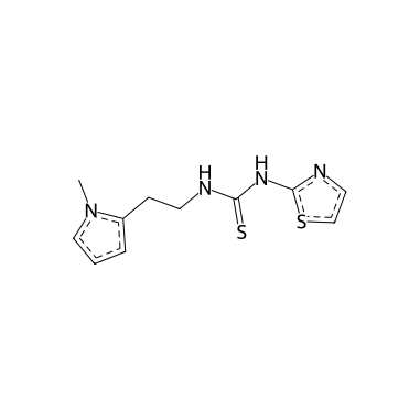 Cn1cccc1CCNC(=S)Nc1nccs1